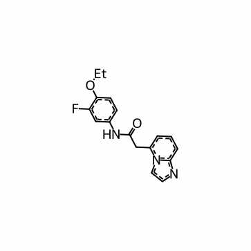 CCOc1ccc(NC(=O)Cc2cccc3nccn23)cc1F